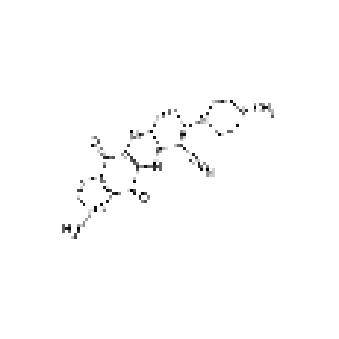 Cc1ccc2c(n1)C(=O)c1nc3c(C#N)c(N4CCN(C)CC4)ccc3nc1C2=O